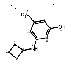 Cc1cc(O)nc(NC2CCC2)c1